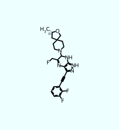 C[C@H]1CC2(CCN(C3Nc4[nH]nc(C#Cc5cccc(F)c5F)c4N=C3CF)CC2)CO1